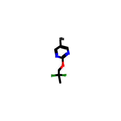 CC(F)(F)COc1ncc(C(C)(C)C)cn1